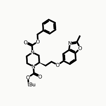 Cc1nc2cc(OCC[C@@H]3CN(C(=O)OCc4ccccc4)CCN3C(=O)OC(C)(C)C)ccc2o1